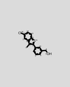 Cc1c(-c2cccc(CO)c2)sc2ccc(Cl)cc12